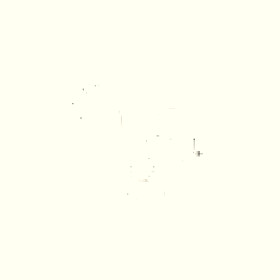 CCCCC(Cc1cc(C(C)(C)C)c(O)c(C(C)(C)C)c1)(C(=O)OC1CC(C)(C)NC(C)(C)C1)C(=O)OC1CC(C)(C)N(C)C(C)(C)C1